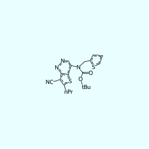 CCCc1sc2c(N(Cc3cccs3)C(=O)OC(C)(C)C)cnnc2c1C#N